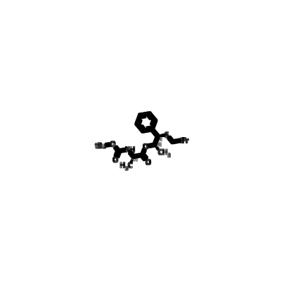 CC(C)CS[C@H](c1ccccc1)[C@H](C)OC(=O)[C@H](C)NC(=O)OC(C)(C)C